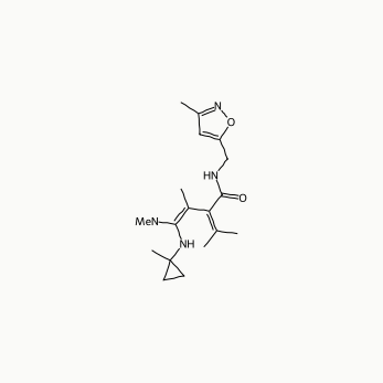 CN/C(NC1(C)CC1)=C(\C)C(C(=O)NCc1cc(C)no1)=C(C)C